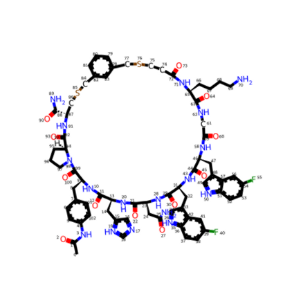 CC(=O)Nc1ccc(C[C@@H]2NC(=O)[C@H](Cc3cnc[nH]3)NC(=O)[C@H](CC(N)=O)NC(=O)[C@H](Cc3c[nH]c4ccc(F)cc34)NC(=O)[C@H](Cc3c[nH]c4ccc(F)cc34)NC(=O)CNC(=O)[C@H](CCCCN)NC(=O)CCSCc3cccc(c3)CSC[C@@H](C(N)=O)NC(=O)[C@@H]3CCCN3C2=O)cc1